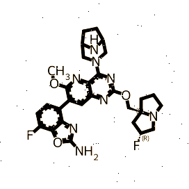 COc1nc2c(N3CC4CCC(C3)N4)nc(OC[C@@]34CCCN3C[C@H](F)C4)nc2cc1-c1ccc(F)c2oc(N)nc12